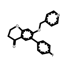 O=C1CCOc2cc(OCc3ccncc3)c(-c3ccc(F)cc3)cc21